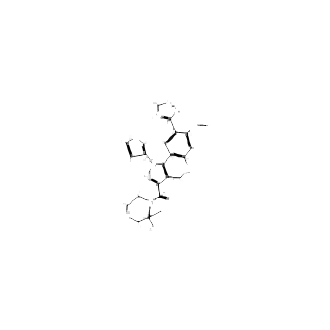 COc1cc2c(cc1C1=NCN=N1)-c1c(c(C(=O)N3CCOCC3(C)C)nn1-c1ccsc1)CO2